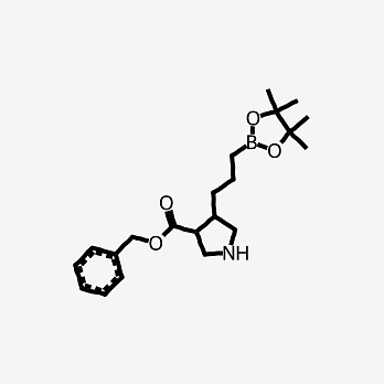 CC1(C)OB(CCCC2CNCC2C(=O)OCc2ccccc2)OC1(C)C